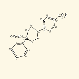 CCCCC[Si]1(c2ccccc2)CCC(c2ccc(C(=O)O)cc2)CC1